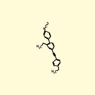 CCc1ccc(C#Cc2ccc(-c3ccc(N=C=S)cc3)c(CC)c2)cc1